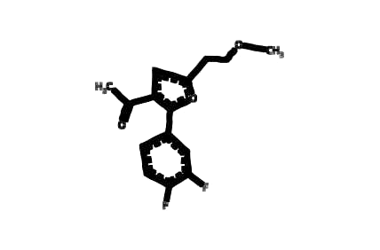 COCCc1cc(C(C)=O)c(-c2ccc(F)c(F)c2)o1